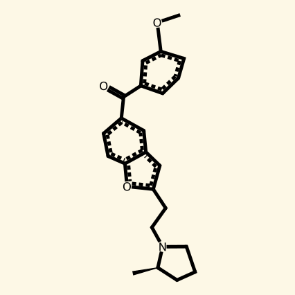 COc1cccc(C(=O)c2ccc3oc(CCN4CCC[C@H]4C)cc3c2)c1